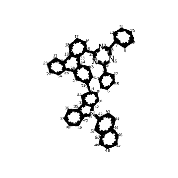 c1ccc(-c2nc(-c3ccccc3)nc(-c3cccc4c5ccccc5c5cc(-c6ccc7c(c6)c6ccccc6n7-c6ccc7ccccc7c6)ccc5c34)n2)cc1